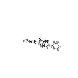 CCCCCc1nn2cc(-c3ccccc3)nc2s1